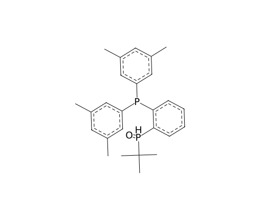 Cc1cc(C)cc(P(c2cc(C)cc(C)c2)c2ccccc2[PH](=O)C(C)(C)C)c1